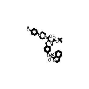 COc1ccc(N2CCN(C(=O)[C@H](Cc3ccc(OS(=O)(=O)c4nccc5ccccc45)cc3)N(C)C(=O)OC(C)(C)C)CC2)cc1